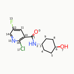 O=C(N[C@H]1CC[C@H](O)CC1)c1cc(F)cnc1Cl